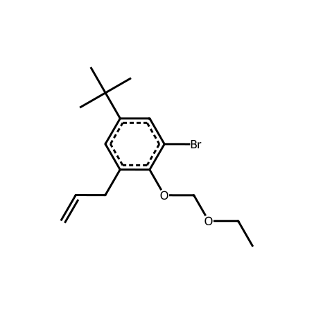 C=CCc1cc(C(C)(C)C)cc(Br)c1OCOCC